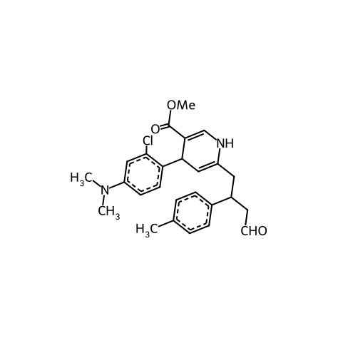 COC(=O)C1=CNC(CC(CC=O)c2ccc(C)cc2)=CC1c1ccc(N(C)C)cc1Cl